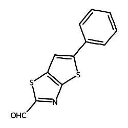 O=Cc1nc2sc(-c3ccccc3)cc2s1